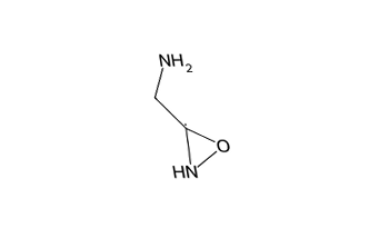 NC[C]1NO1